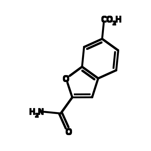 NC(=O)c1cc2ccc(C(=O)O)cc2o1